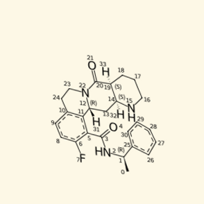 C[C@@H](NC(=O)c1c(F)ccc2c1[C@H]1C[C@@H]3NCCC[C@@H]3C(=O)N1CC2)c1ccccc1